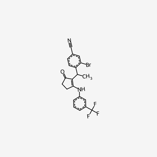 CC(C1=C(Nc2cccc(C(F)(F)F)c2)CCC1=O)c1ccc(C#N)cc1Br